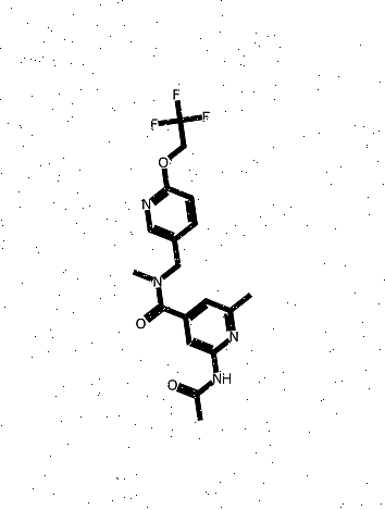 CC(=O)Nc1cc(C(=O)N(C)Cc2ccc(OCC(F)(F)F)nc2)cc(C)n1